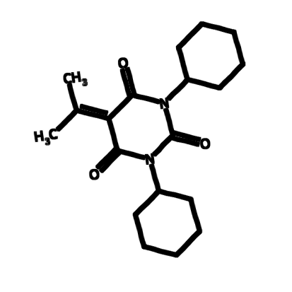 CC(C)=C1C(=O)N(C2CCCCC2)C(=O)N(C2CCCCC2)C1=O